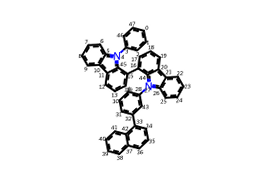 c1ccc(-n2c3ccccc3c3cccc(-c4cccc5c6ccccc6n(-c6cccc(-c7cccc8ccccc78)c6)c45)c32)cc1